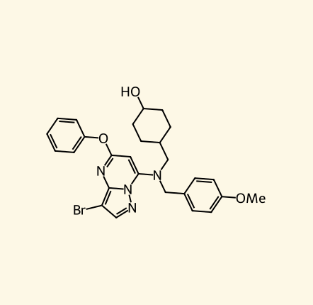 COc1ccc(CN(CC2CCC(O)CC2)c2cc(Oc3ccccc3)nc3c(Br)cnn23)cc1